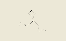 CCCCCCCC(CCCCC)N1CCC1